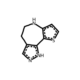 c1cc2c(s1)-c1[nH]ncc1CCN2